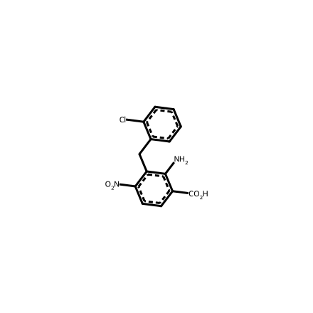 Nc1c(C(=O)O)ccc([N+](=O)[O-])c1Cc1ccccc1Cl